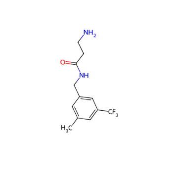 Cc1cc(CNC(=O)CCN)cc(C(F)(F)F)c1